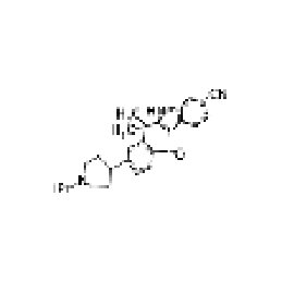 CC(C)N1CCC(c2ccc3c(c2)C(C)(C)c2[nH]c4cc(C#N)ccc4c2C3=O)CC1